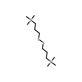 C[Si](C)(C)CCCSSCCC[Si](C)(C)C